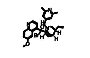 C=C[C@H]1C[N+]2(Cc3cc(C)nc(C)c3)CC[C@H]1C[C@H]2[C@](O)(Br)c1ccnc2ccc(OC)cc12